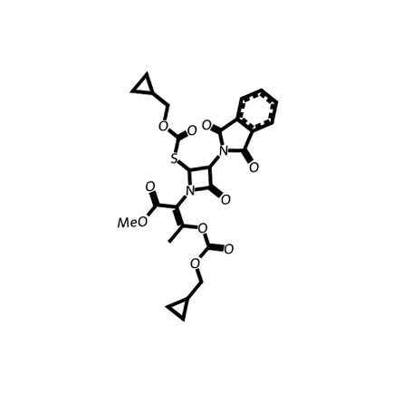 COC(=O)C(=C(C)OC(=O)OCC1CC1)N1C(=O)C(N2C(=O)c3ccccc3C2=O)C1SC(=O)OCC1CC1